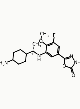 COc1c(F)cc(-c2n[nH]c(=O)o2)cc1N[C@@H](C)C1CCC(N)CC1